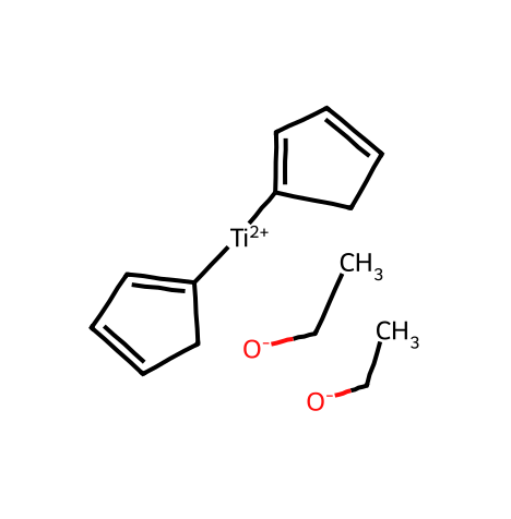 C1=CC[C]([Ti+2][C]2=CC=CC2)=C1.CC[O-].CC[O-]